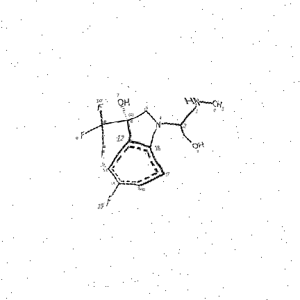 CNC(O)N1C[C@](O)(C(F)(F)F)c2cc(F)ccc21